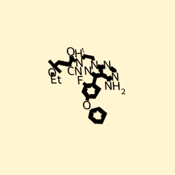 CCOC(C)(C)/C=C(\C#N)C(=O)N[C@H](C)Cn1nc(-c2ccc(Oc3ccccc3)cc2F)c2c(N)ncnc21